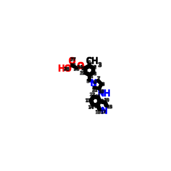 Cc1ccc(CN2CCC(Nc3cccc4cnccc34)C2)cc1OCC(=O)O